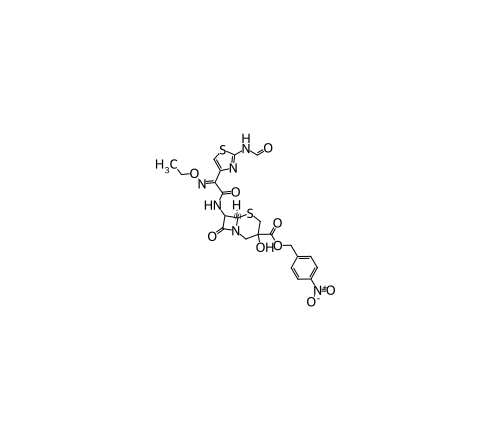 CCON=C(C(=O)NC1C(=O)N2CC(O)(C(=O)OCc3ccc([N+](=O)[O-])cc3)CS[C@H]12)c1csc(NC=O)n1